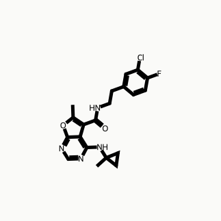 Cc1oc2ncnc(NC3(C)CC3)c2c1C(=O)NCCc1ccc(F)c(Cl)c1